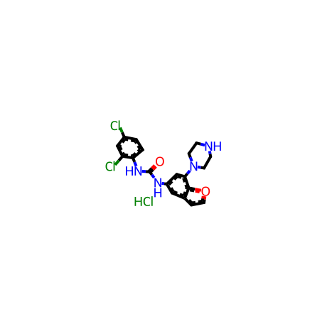 Cl.O=C(Nc1cc(N2CCNCC2)c2occc2c1)Nc1ccc(Cl)cc1Cl